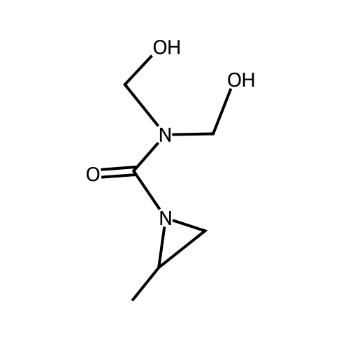 CC1CN1C(=O)N(CO)CO